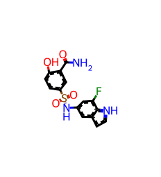 NC(=O)c1cc(S(=O)(=O)Nc2cc(F)c3[nH]ccc3c2)ccc1O